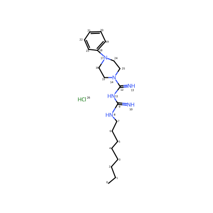 CCCCCCCCNC(=N)NC(=N)N1CCN(c2ccccc2)CC1.Cl